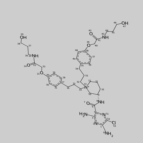 Nc1nc(N)c(C(=O)N[C@H]2CCC[N+](CCCc3ccc(OCC(=O)NCCCO)cc3)(CCCc3ccc(OCC(=O)NCCCO)cc3)C2)nc1Cl